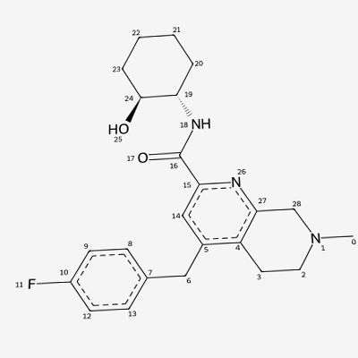 CN1CCc2c(Cc3ccc(F)cc3)cc(C(=O)N[C@H]3CCCC[C@@H]3O)nc2C1